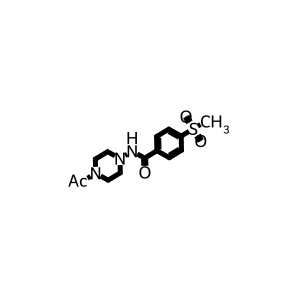 CC(=O)N1CCN(NC(=O)c2ccc(S(C)(=O)=O)cc2)CC1